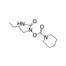 CCC1CN(OC(=O)N2CCCCC2)C(=O)N1